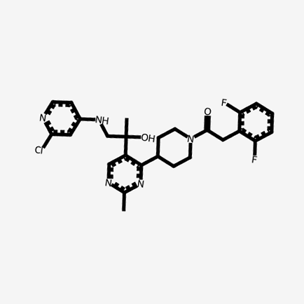 Cc1ncc(C(C)(O)CNc2ccnc(Cl)c2)c(C2CCN(C(=O)Cc3c(F)cccc3F)CC2)n1